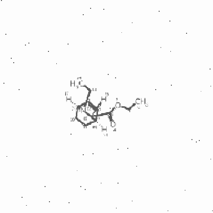 CCOC(=O)[C@@H]1[C@H]2C=C[C@H](CC2)N1CC